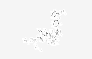 Cc1ncsc1-c1ccc(CNC(=O)C2C[C@@H](O)CN2C(=O)[C@H](C)NC(=O)[C@@H](N)CC(C)C)cc1